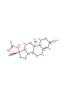 C#C[C@]1(OC(C)=O)CCC2C3CCC4=CC(=O)CC[C@@H]4C3CC[C@@]21C